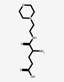 NC(CCC(=O)O)C(=O)NCCN1CCOCC1